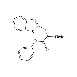 COC(Cc1cc2ccccc2s1)C(=O)Oc1ccccc1